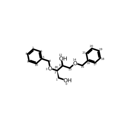 OC[C@@H](OCc1ccccc1)C(O)COCc1ccccc1